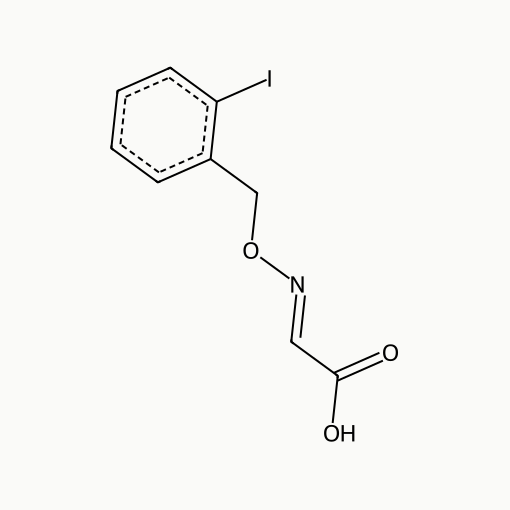 O=C(O)C=NOCc1ccccc1I